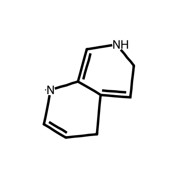 C1=C[N]C2=CNCC=C2C1